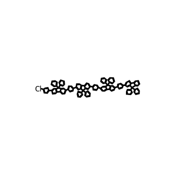 Clc1ccc(-c2ccc3c(c2)C(c2ccccc2)(c2ccccc2)c2cc(-c4ccc(-c5ccc6c(c5)C(c5ccccc5)(c5ccccc5)c5cc(-c7ccc(-c8ccc9c(c8)C(c8ccccc8)(c8ccccc8)c8cc(-c%10ccc(-c%11ccc%12c(c%11)C(c%11ccccc%11)(c%11ccccc%11)c%11ccccc%11-%12)cc%10)ccc8-9)cc7)ccc5-6)cc4)ccc2-3)cc1